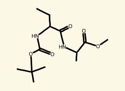 CCC(NC(=O)OC(C)(C)C)C(=O)NC(C)C(=O)OC